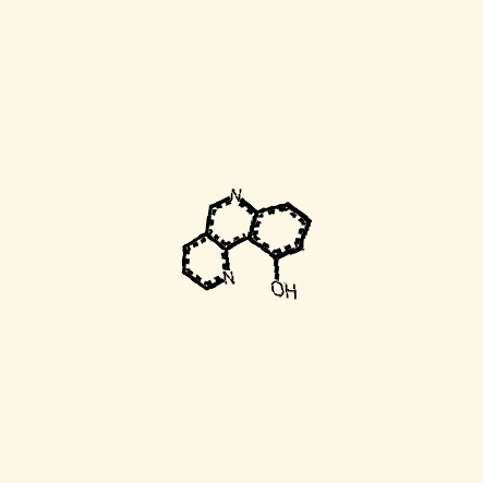 Oc1cccc2ncc3cccnc3c12